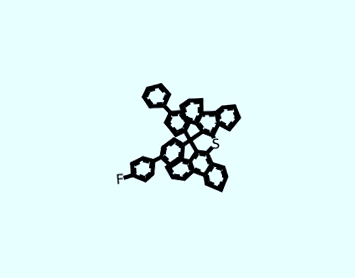 Fc1ccc(-c2ccc(C3(c4ccc(-c5ccccc5)cc4)c4c(c5ccccc5c5ccccc45)Sc4c3c3ccccc3c3ccccc43)cc2)cc1